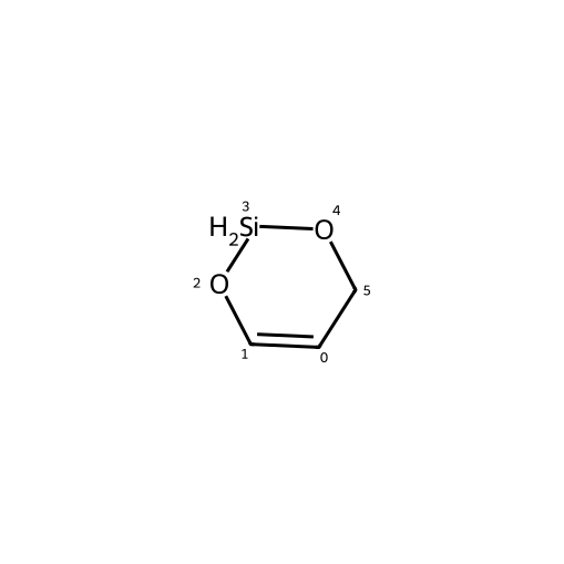 C1=CO[SiH2]OC1